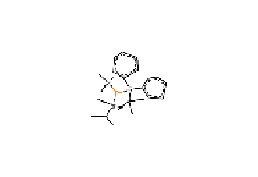 CC(C)[Si](C)(C)P([Si](C)(C)C)[Si](c1ccccc1)(c1ccccc1)C(C)(C)C